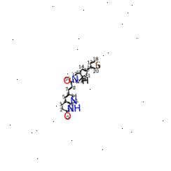 O=C1CCc2cc(/C=C/C(=O)N3CC4C=C(c5ccsc5)C[C@@H]4C3)cnc2N1